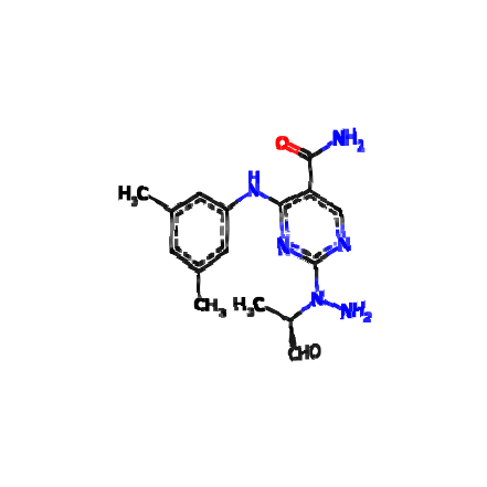 Cc1cc(C)cc(Nc2nc(N(N)[C@H](C)C=O)ncc2C(N)=O)c1